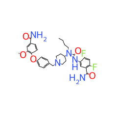 CCCCN(C(=O)Nc1cc(C(N)=O)c(F)cc1F)C1CCN(Cc2ccc(Oc3ccc(C(N)=O)cc3OC)cc2)CC1